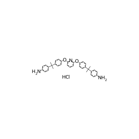 CC(C)(c1ccc(N)cc1)c1ccc(Oc2cccc(Oc3ccc(C(C)(C)c4ccc(N)cc4)cc3)n2)cc1.Cl